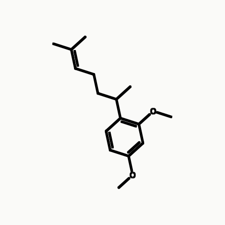 COc1ccc(C(C)CCC=C(C)C)c(OC)c1